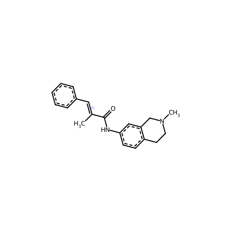 C/C(=C\c1ccccc1)C(=O)Nc1ccc2c(c1)CN(C)CC2